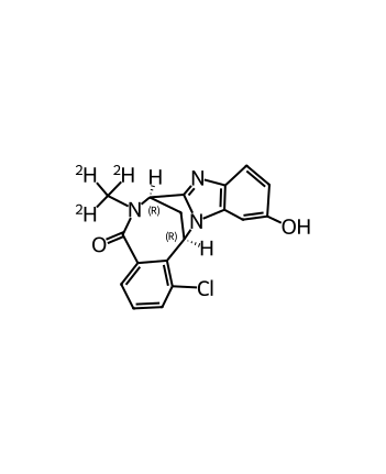 [2H]C([2H])([2H])N1C(=O)c2cccc(Cl)c2[C@H]2C[C@@H]1c1nc3ccc(O)cc3n12